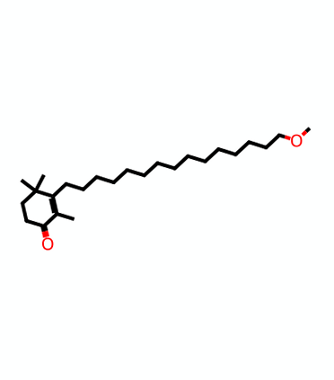 COCCCCCCCCCCCCCCCC1=C(C)C(=O)CCC1(C)C